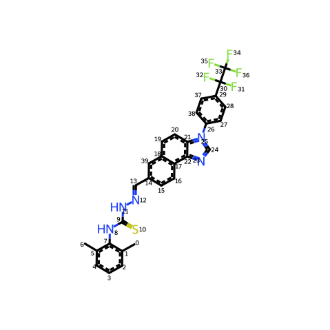 Cc1cccc(C)c1NC(=S)N/N=C/c1ccc2c(ccc3c2ncn3-c2ccc(C(F)(F)C(F)(F)F)cc2)c1